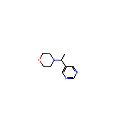 [CH2]C(c1cncnc1)N1CCOCC1